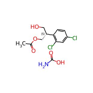 CC(=O)OC[C@H](CO)c1ccc(Cl)cc1Cl.NC(=O)O